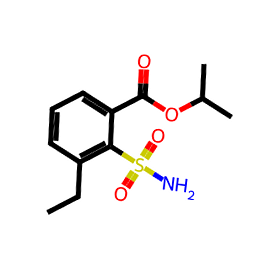 CCc1cccc(C(=O)OC(C)C)c1S(N)(=O)=O